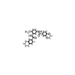 Cc1ccc(NC(=O)c2ccc3c(c2)OCCO3)cc1NC(=O)c1ccc2c(c1)CCCC2